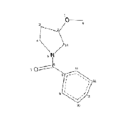 COC1CCN(C(=O)c2ccccc2)C1